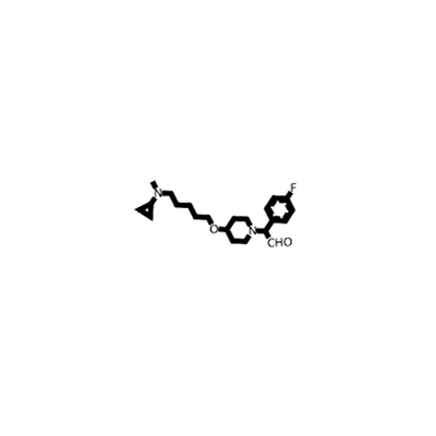 CN(CCCCCOC1CCN(C(C=O)c2ccc(F)cc2)CC1)C1CC1